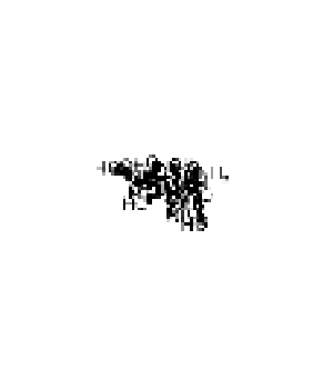 NC(=O)c1c(I)c(C(=O)NCC(O)CO)c(I)c(N(CC(O)CO)C(=O)C(CC(O)CO)C(=O)N(CC(O)CO)c2c(I)c(C(N)=O)c(I)c(C(=O)NCC(O)CO)c2I)c1I